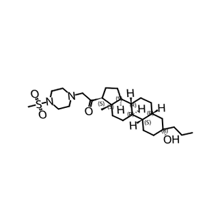 CCC[C@@]1(O)CC[C@H]2[C@H](CC[C@@H]3[C@@H]2CC[C@]2(C)[C@@H](C(=O)CN4CCN(S(C)(=O)=O)CC4)CC[C@@H]32)C1